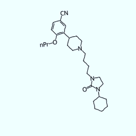 CCCOc1ccc(C#N)cc1C1CCN(CCCCN2CCN(C3CCCCC3)C2=O)CC1